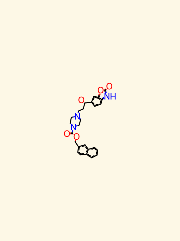 O=C(CCN1CCN(C(=O)OCc2ccc3ccccc3c2)CC1)c1ccc2[nH]c(=O)oc2c1